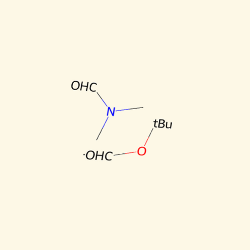 CC(C)(C)O[C]=O.CN(C)C=O